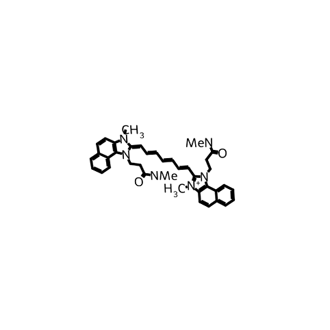 CNC(=O)CCN1\C(=C/C=C/C=C/C=C/c2n(CCC(=O)NC)c3c4ccccc4ccc3[n+]2C)N(C)c2ccc3ccccc3c21